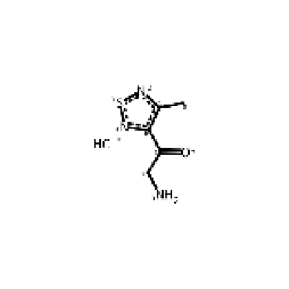 Cc1nsnc1C(=O)CN.Cl